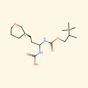 CC(COC(=O)NC(CC[C@H]1CCCOC1)NC(=O)O)[Si](C)(C)C